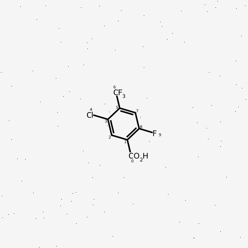 O=C(O)c1cc(Cl)c(C(F)(F)F)cc1F